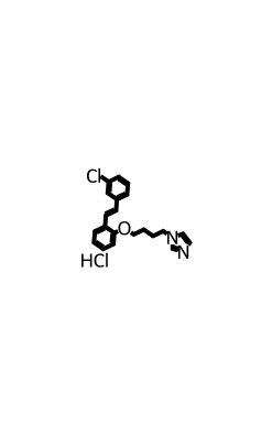 Cl.Clc1cccc(C=Cc2ccccc2OCCCCn2ccnc2)c1